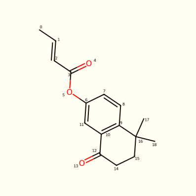 C/C=C/C(=O)Oc1ccc2c(c1)C(=O)CCC2(C)C